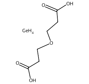 O=C(O)CCOCCC(=O)O.[GeH4]